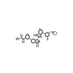 CC(C)C(=O)Nc1cncc(-c2ccc3[nH]nc(-c4nc5c(-c6cc(F)cc(CN7CCCC7)c6)cncc5[nH]4)c3c2)c1